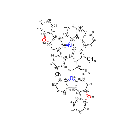 CC1=C(c2cccc(C#N)c2)C(n2c3ccccc3c3c4c(ccc32)oc2ccccc24)=C(c2cccc(C#N)c2)[C@H]1[C@@H](C)Cn1c2ccccc2c2c3c(ccc21)oc1ccccc13